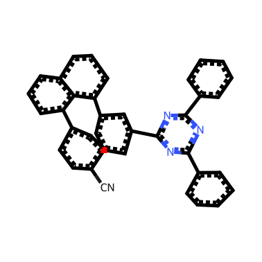 N#Cc1ccc(-c2cccc3cccc(-c4cccc(-c5nc(-c6ccccc6)nc(-c6ccccc6)n5)c4)c23)cc1